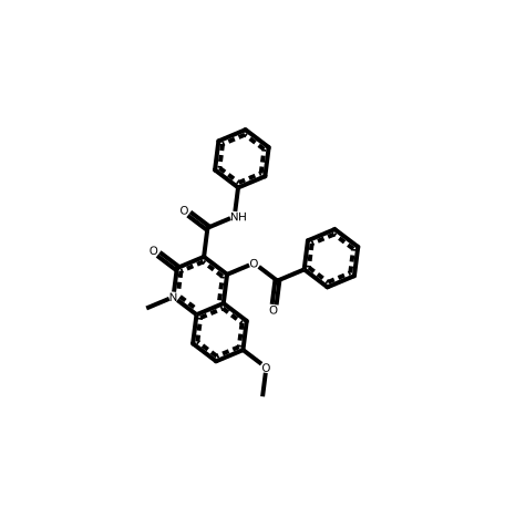 COc1ccc2c(c1)c(OC(=O)c1ccccc1)c(C(=O)Nc1ccccc1)c(=O)n2C